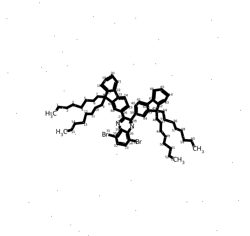 CCCCCCCCC1(CCCCCCCC)c2ccccc2-c2ccc(-c3nc4c(Br)ccc(Br)c4nc3-c3ccc4c(c3)C(CCCCCCCC)(CCCCCCCC)c3ccccc3-4)cc21